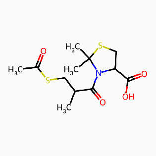 CC(=O)SCC(C)C(=O)N1C(C(=O)O)CSC1(C)C